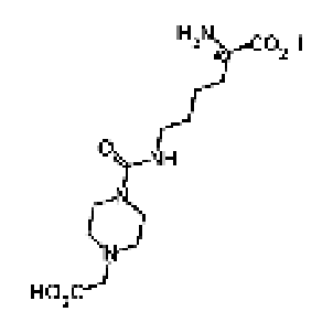 N[C@H](CCCCNC(=O)N1CCN(CC(=O)O)CC1)C(=O)O